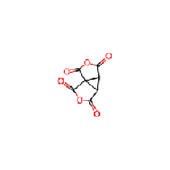 O=C1OC(=O)C23C(=O)OC(=O)C2C13